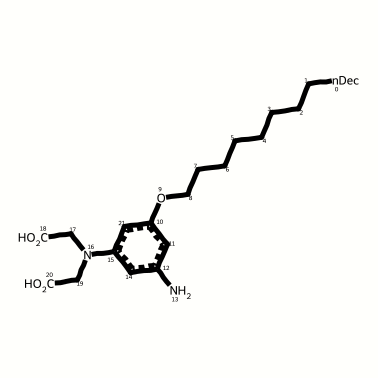 CCCCCCCCCCCCCCCCCCOc1cc(N)cc(N(CC(=O)O)CC(=O)O)c1